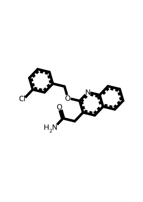 NC(=O)Cc1cc2ccccc2nc1OCc1cccc(Cl)c1